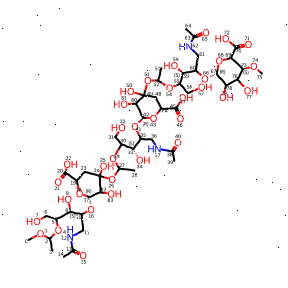 COC(C)OC(CO)[C@@H](O)C(CNC(C)=O)O[C@@H]1OC(C(=O)O)CC(O)(OC(C)OC(CO)[C@@H](O)C(CNC(C)=O)O[C@@H]2OC(C(=O)O)CC(O)(OC(C)OC(CO)[C@@H](O)C(CNC(C)=O)O[C@@H]3OC(C(=O)O)[C@@H](OC)C(O)C3O)C2O)C1O